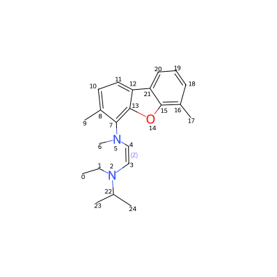 CCN(/C=C\N(C)c1c(C)ccc2c1oc1c(C)cccc12)C(C)C